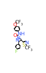 O=C(Nc1ccc(OC(F)(F)F)cc1)N1CC(c2cnc(C(F)(F)F)s2)C(c2ccc(F)cc2)=N1